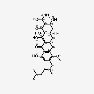 COc1c(CN(C)CCC(C)C)cc(O)c2c1CC1C[C@H]3CC(O)=C(C(N)=O)C(=O)[C@@]3(O)C(O)=C1C2=O